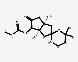 COC(=O)OC1C(=O)C[C@H]2CC3(C[C@@H]12)OCCC(C)(C)O3